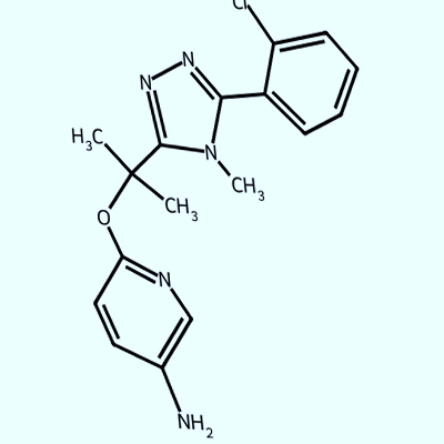 Cn1c(-c2ccccc2Cl)nnc1C(C)(C)Oc1ccc(N)cn1